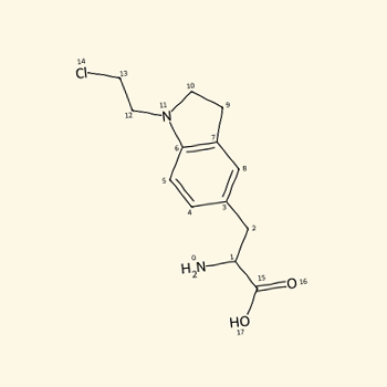 NC(Cc1ccc2c(c1)CCN2CCCl)C(=O)O